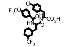 O=C(N[C@@H](Cc1ccc(Cl)cc1)C(=O)O)C(=Cc1cccc(C(F)(F)F)c1)NC(=O)c1ccc(OC(F)(F)F)cc1